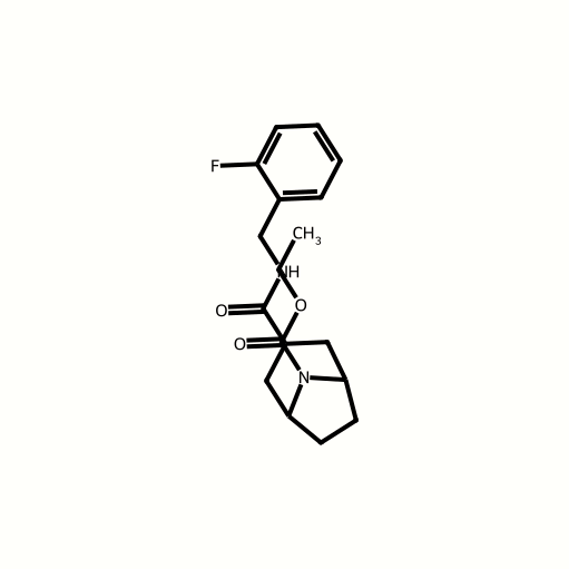 CCOC(=O)N1C2CCC1CC(C(=O)NCc1ccccc1F)C2